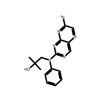 [2H]c1cnc2cnc(N(CC(C)(C)O)c3ccccc3)nc2n1